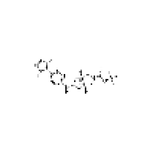 Cc1cnn(C)c1-c1ccc(NC2C[C@@H]3CN(C(=O)OC(C)(C)C)C[C@@H]3C2)nn1